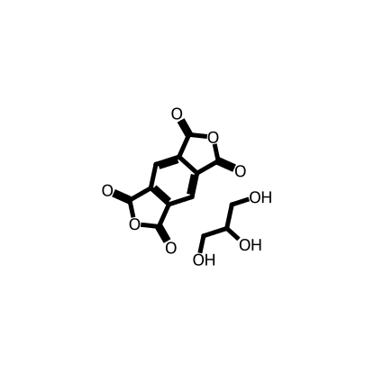 O=c1oc(=O)c2cc3c(=O)oc(=O)c3cc12.OCC(O)CO